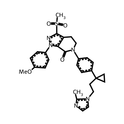 COc1ccc(-n2nc(S(C)(=O)=O)c3c2C(=O)N(c2ccc(C4(CCn5ccnc5C)CC4)cc2)CC3)cc1